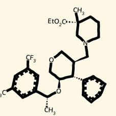 CCOC(=O)[C@]1(C)CCCN(C[C@@H]2COC[C@H](O[C@H](C)c3cc(C(F)(F)F)cc(C(F)(F)F)c3)[C@H]2c2ccccc2)C1